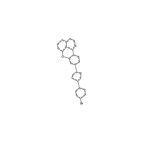 Brc1ccc(-c2ccc(-c3ccc4c(c3)Oc3cccc5ccnc-4c35)cc2)cc1